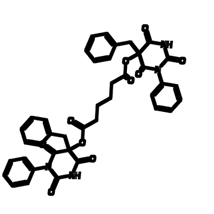 O=C(CCCCC(=O)OC1(Cc2ccccc2)C(=O)NC(=O)N(c2ccccc2)C1=O)OC1(Cc2ccccc2)C(=O)NC(=O)N(c2ccccc2)C1=O